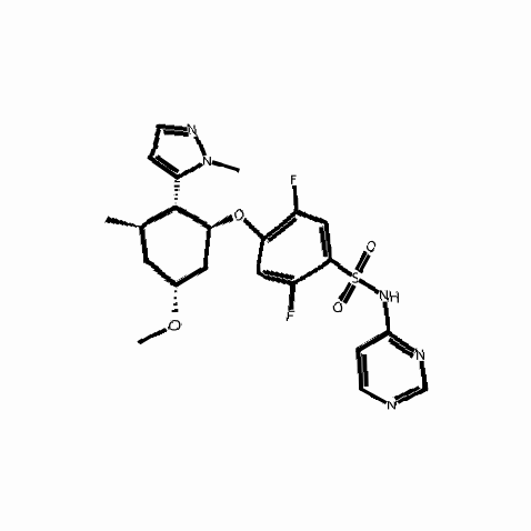 CO[C@@H]1C[C@@H](C)[C@H](c2ccnn2C)[C@@H](Oc2cc(F)c(S(=O)(=O)Nc3ccncn3)cc2F)C1